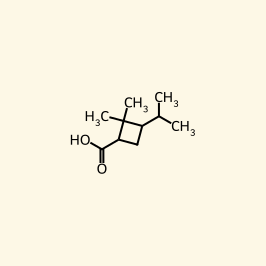 CC(C)C1CC(C(=O)O)C1(C)C